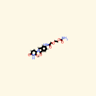 NC(=O)OCCOCC(=O)Nc1ccc2c(c1)CN(C1CCC(=O)NC1=O)C2=O